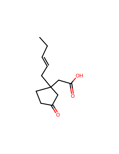 CCC=CCC1(CC(=O)O)CCC(=O)C1